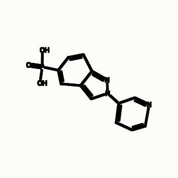 O=P(O)(O)c1ccc2nn(-c3cccnc3)cc2c1